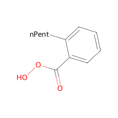 CCCCCc1ccccc1C(=O)OO